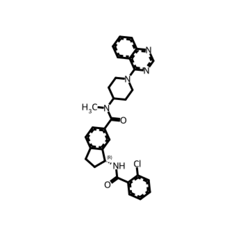 CN(C(=O)c1ccc2c(c1)[C@H](NC(=O)c1ccccc1Cl)CC2)C1CCN(c2ncnc3ccccc23)CC1